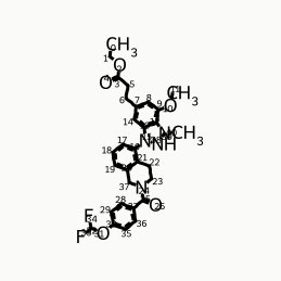 CCOC(=O)CCc1cc(OC)c2c(c1)N(c1cccc3c1CCN(C(=O)c1ccc(OC(F)F)cc1)C3)NN2C